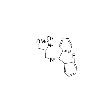 COCC1CN=C(c2ccccc2F)c2ccccc2N1C